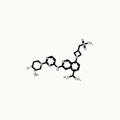 CC(C)c1ccc(N2CC(CS(C)(=O)=O)C2)c2cnc(Nc3ccnc(N4CC[C@@H](F)[C@@H](O)C4)n3)cc12